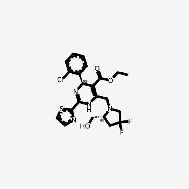 CCOC(=O)C1=C(CN2CC(F)(F)C[C@@H]2CO)NC(c2nccs2)=N[C@H]1c1ccccc1Cl